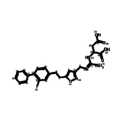 NC(=NCc1cc(CCc2ccc(-c3ccccc3)c(F)c2)on1)NC(CC(=O)O)C(=O)O